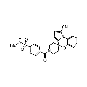 CC(C)(C)NS(=O)(=O)c1ccc(C(=O)N2CCC3(CC2)Oc2ccccc2-n2c(C#N)ccc23)cc1